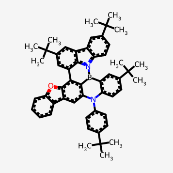 CC(C)(C)c1ccc(N2c3ccc(C(C)(C)C)cc3B3c4c2cc2c(oc5ccccc52)c4-c2cc(C(C)(C)C)cc4c5cc(C(C)(C)C)ccc5n3c24)cc1